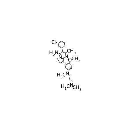 COc1ccc(N(C)CCCN(C)C)cc1-c1cnn2c(N)c(-c3cccc(Cl)c3)c(C)nc12